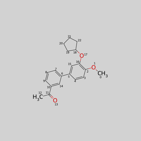 COc1ccc(-c2cccc(C(C)=O)c2)cc1OC1CCCC1